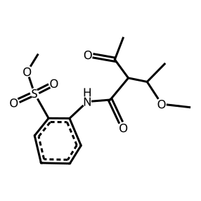 COC(C)C(C(C)=O)C(=O)Nc1ccccc1S(=O)(=O)OC